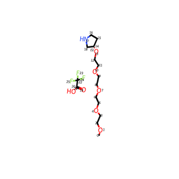 COCCOCCOCCOCCO[C@H]1CCNC1.O=C(O)C(F)(F)F